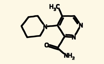 Cc1cnnc(C(N)=O)c1N1CCCCC1